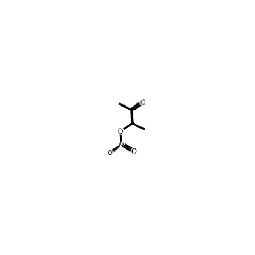 CC(=O)C(C)O[N+](=O)[O-]